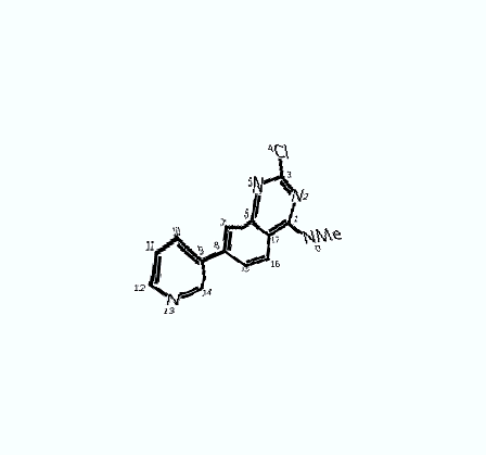 CNc1nc(Cl)nc2cc(-c3cccnc3)ccc12